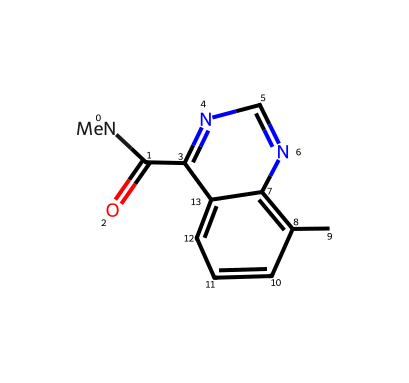 CNC(=O)c1ncnc2c(C)cccc12